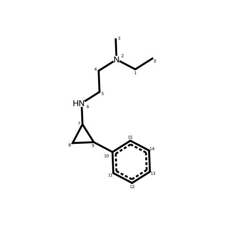 CCN(C)CCNC1CC1c1ccccc1